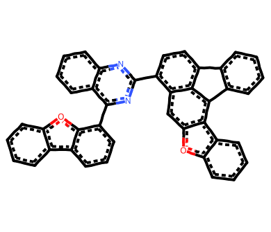 c1ccc2c(c1)-c1ccc(-c3nc(-c4cccc5c4oc4ccccc45)c4ccccc4n3)c3cc4oc5ccccc5c4c-2c13